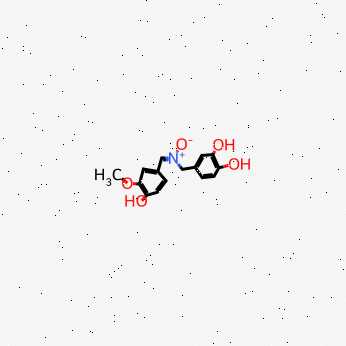 COc1cc(/C=[N+](/[O-])Cc2ccc(O)c(O)c2)ccc1O